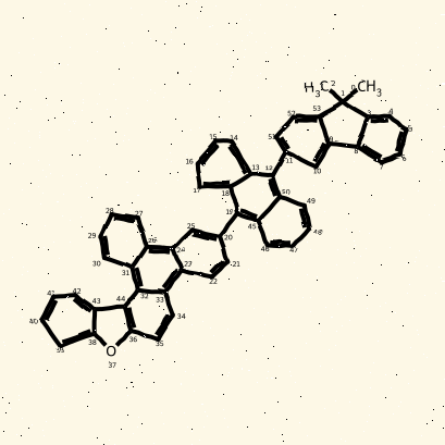 CC1(C)c2ccccc2-c2cc(-c3c4ccccc4c(-c4ccc5c(c4)c4ccccc4c4c5ccc5oc6ccccc6c54)c4ccccc34)ccc21